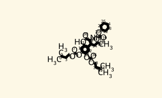 CC(C)CCOC(=O)Oc1ccc(C(CC(C)OC(=O)OC2CCCCC2)[C@H](N)C(=O)O)cc1OC(=O)OCCC(C)C